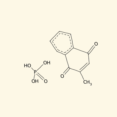 CC1=CC(=O)c2ccccc2C1=O.O=P(O)(O)O